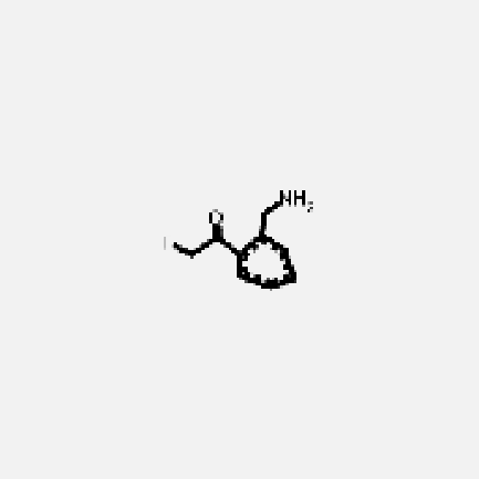 NCc1ccccc1C(=O)CF